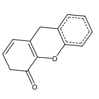 O=C1CC=CC2=C1Oc1ccccc1C2